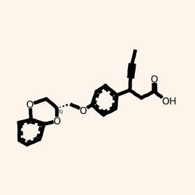 CC#CC(CC(=O)O)c1ccc(OC[C@H]2COc3ccccc3O2)cc1